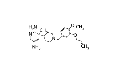 C=CCOc1cc(CN2CCC(C3(C)C=C(N)C=NC3N)CC2)ccc1OC